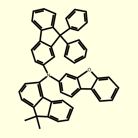 CC1(C)c2ccccc2-c2c(N(c3ccc4c(c3)C(c3ccccc3)(c3ccccc3)c3ccccc3-4)c3ccc4c(c3)oc3ccccc34)cccc21